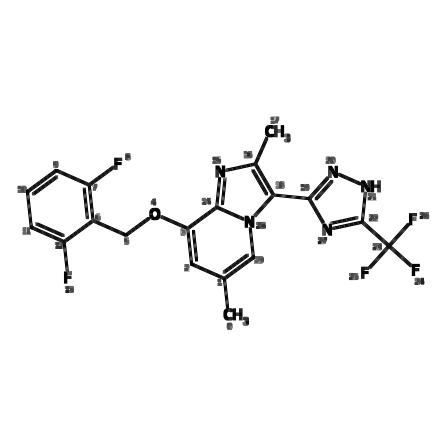 Cc1cc(OCc2c(F)cccc2F)c2nc(C)c(-c3n[nH]c(C(F)(F)F)n3)n2c1